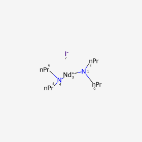 CCC[N](CCC)[Nd+][N](CCC)CCC.[I-]